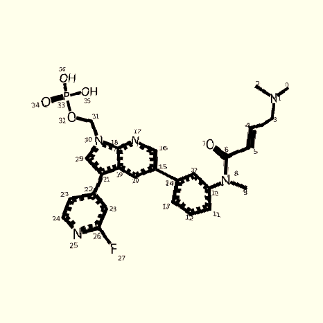 CN(C)CC=CC(=O)N(C)c1cccc(-c2cnc3c(c2)c(-c2ccnc(F)c2)cn3COP(=O)(O)O)c1